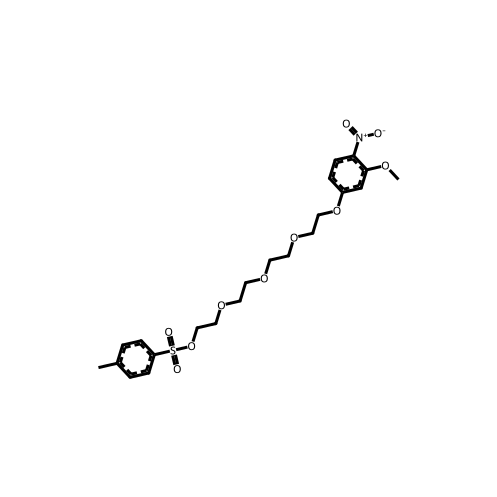 COc1cc(OCCOCCOCCOCCOS(=O)(=O)c2ccc(C)cc2)ccc1[N+](=O)[O-]